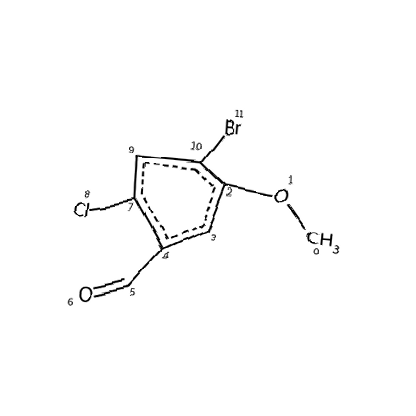 COc1cc(C=O)c(Cl)cc1Br